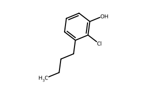 CCCCc1cccc(O)c1Cl